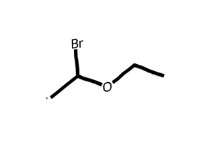 [CH2]C(Br)OCC